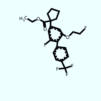 CCOC(=O)C1(c2cc(I)c(-c3ccc(C(F)(F)F)cc3)c(OCCF)c2)CCCC1